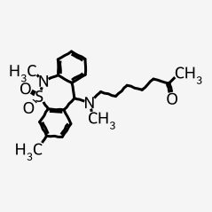 CC(=O)CCCCCN(C)C1c2ccccc2N(C)S(=O)(=O)c2cc(C)ccc21